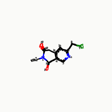 CC(C)(C)N1C(=O)c2cnc(CCl)cc2C1=O